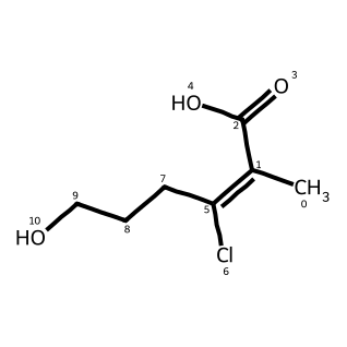 CC(C(=O)O)=C(Cl)CCCO